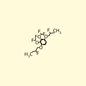 CCC(F)COc1ccc(OCC(F)CC)c(OC(F)F)c1OC(F)F